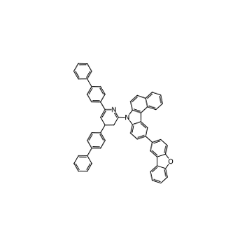 C1=C(c2ccc(-c3ccccc3)cc2)N=C(n2c3ccc(-c4ccc5oc6ccccc6c5c4)cc3c3c4ccccc4ccc32)CC1c1ccc(-c2ccccc2)cc1